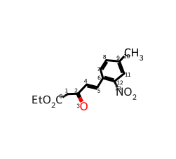 CCOC(=O)CC(=O)C=Cc1ccc(C)cc1[N+](=O)[O-]